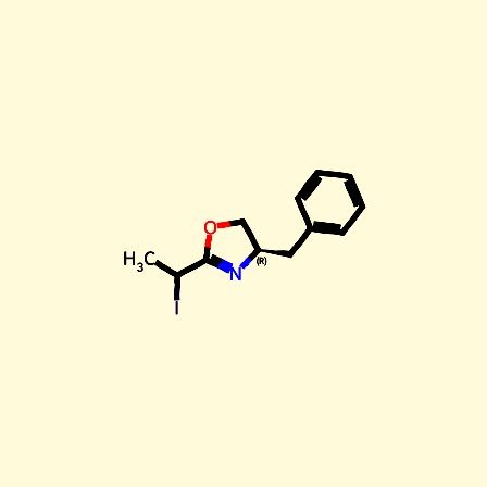 CC(I)C1=N[C@H](Cc2ccccc2)CO1